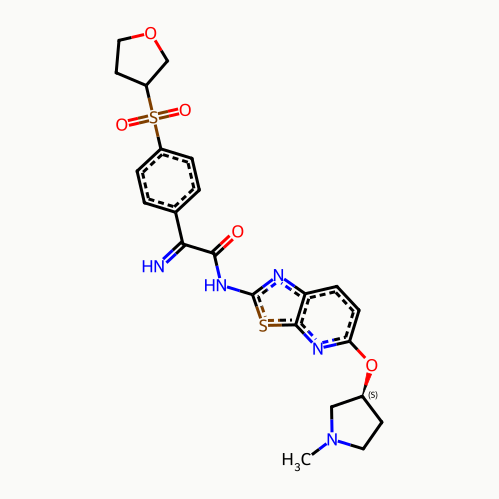 CN1CC[C@H](Oc2ccc3nc(NC(=O)C(=N)c4ccc(S(=O)(=O)C5CCOC5)cc4)sc3n2)C1